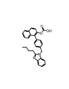 CCCCc1nc2ccccc2n1Cc1ccc(-c2c(OC(=O)O)ccc3ccccc23)cc1